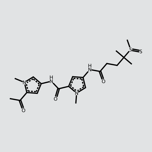 CC(=O)c1cc(NC(=O)c2cc(NC(=O)CCC(C)(C)S(C)=S)cn2C)cn1C